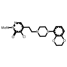 CNn1ncc(CCN2CCN(c3cccc4c3OCCO4)CC2)c(Cl)c1=O